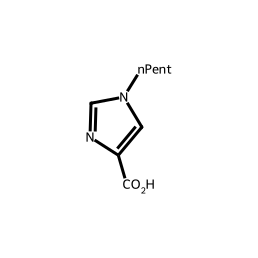 CCCCCn1cnc(C(=O)O)c1